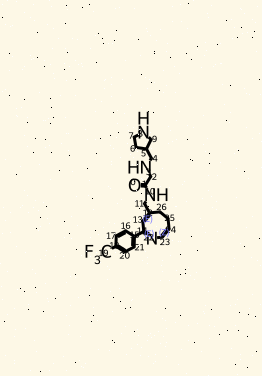 O=C(CNCC1CCNC1)NC/C1=C/C(c2ccc(C(F)(F)F)cc2)=N\C=C/CC1